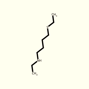 CCNCCCCSCC